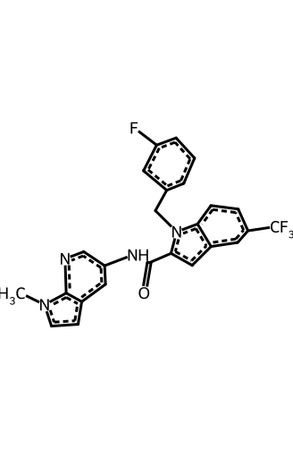 Cn1ccc2cc(NC(=O)c3cc4cc(C(F)(F)F)ccc4n3Cc3cccc(F)c3)cnc21